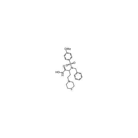 COc1ccc(S(=O)(=O)N(Cc2ccccc2)C(CCN2CCSCC2)C(=O)NO)cc1